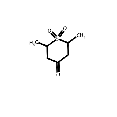 CC1CC(=O)CC(C)S1(=O)=O